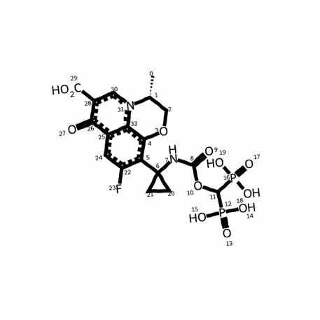 C[C@@H]1COc2c(C3(NC(=O)OC(P(=O)(O)O)P(=O)(O)O)CC3)c(F)cc3c(=O)c(C(=O)O)cn1c23